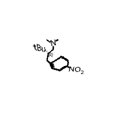 CN(C)C[C@H](Cc1ccc([N+](=O)[O-])cc1)C(C)(C)C